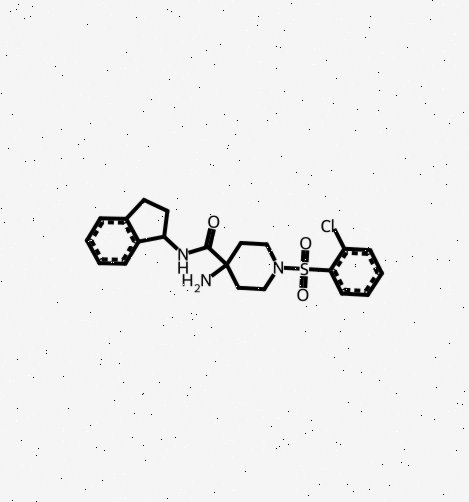 NC1(C(=O)NC2CCc3ccccc32)CCN(S(=O)(=O)c2ccccc2Cl)CC1